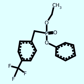 CCOP(=O)(Cc1ccc(C(F)(F)F)cc1)Oc1ccccc1